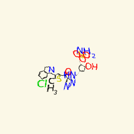 Cc1sc(C(=O)c2cncnc2NC[C@@H]2C[C@H](COS(N)(=O)=O)[C@@H](O)C2)cc1C1=NCCc2ccc(Cl)cc21